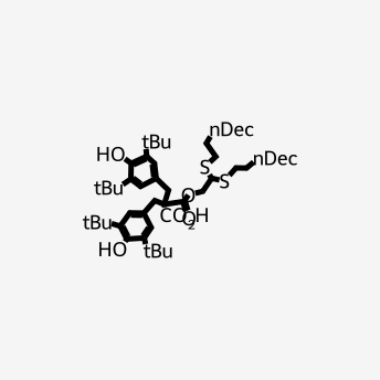 CCCCCCCCCCCCSC(COC(=O)C(Cc1cc(C(C)(C)C)c(O)c(C(C)(C)C)c1)(Cc1cc(C(C)(C)C)c(O)c(C(C)(C)C)c1)C(=O)O)SCCCCCCCCCCCC